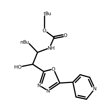 CCCCC(NC(=O)OC(C)(C)C)C(O)c1nnc(-c2ccncc2)o1